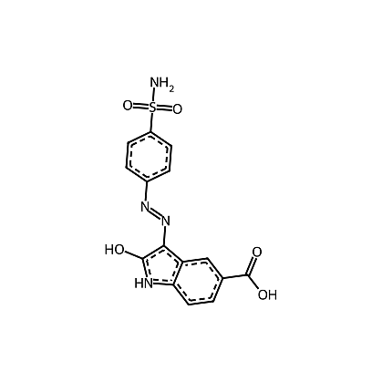 NS(=O)(=O)c1ccc(N=Nc2c(O)[nH]c3ccc(C(=O)O)cc23)cc1